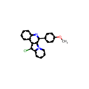 COc1ccc(-c2nc3ccccc3c3c(Cl)c4ccccn4c23)cc1